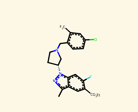 CCOC(=O)c1cc2c(C)nn([C@@H]3CCN(Cc4ccc(Cl)cc4C(F)(F)F)C3)c2cc1F